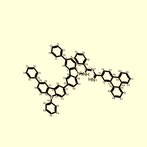 N=C(/N=C(\Nn1c2ccc(-c3ccccc3)cc2c2cc(-c3ccc4c(c3)c3cc(-c5ccccc5)ccc3n4-c3ccccc3)ccc21)c1ccccc1)c1ccc2c3ccccc3c3ccccc3c2c1